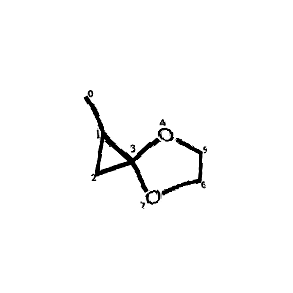 CC1CC12OCCO2